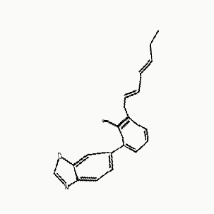 CC/C=C/C=C/c1cccc(-c2ccc3ncoc3c2)c1C